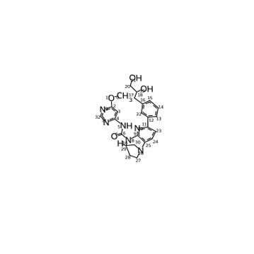 COc1cc(NC(=O)N2c3nc(-c4cccc(CC(O)CO)c4)ccc3N3CC[C@H]2C3)ncn1